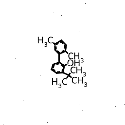 Cc1ccc(C)c(-c2cccc(C(C)(C)C)c2O)c1